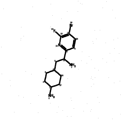 NC1CCC(CC(N)c2ccc(Br)c(F)n2)CC1